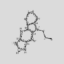 CCCn1c2ccccc2c2nc3nonc3nc21